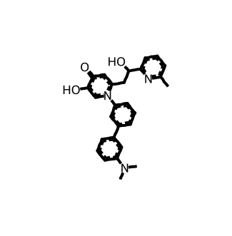 Cc1cccc(C(O)Cc2cc(=O)c(O)cn2-c2cccc(-c3cccc(N(C)C)c3)c2)n1